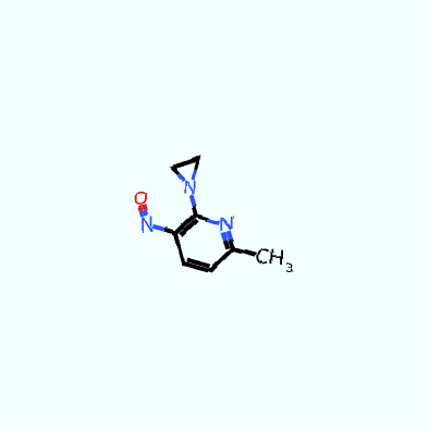 Cc1ccc(N=O)c(N2CC2)n1